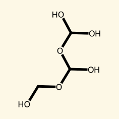 OCOC(O)OC(O)O